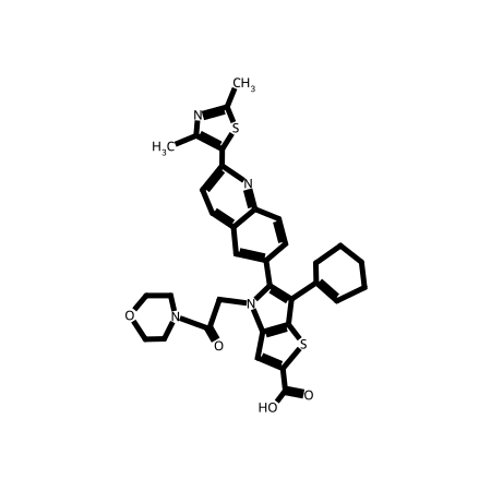 Cc1nc(C)c(-c2ccc3cc(-c4c(C5=CCCCC5)c5sc(C(=O)O)cc5n4CC(=O)N4CCOCC4)ccc3n2)s1